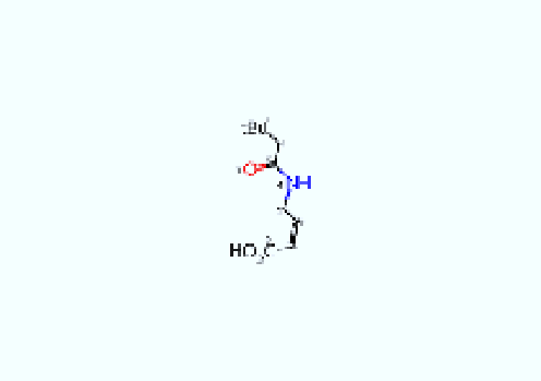 CC(C)(C)CC(=O)NC/C=C\C(=O)O